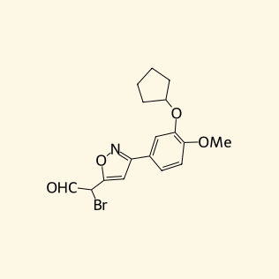 COc1ccc(-c2cc(C(Br)C=O)on2)cc1OC1CCCC1